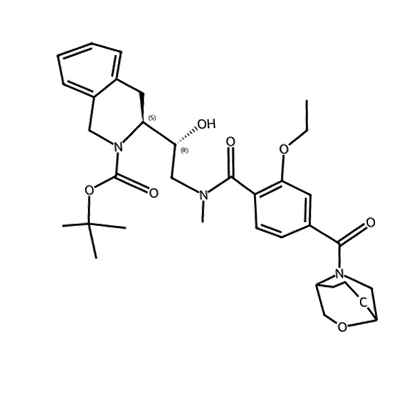 CCOc1cc(C(=O)N2CC3CCCC2CO3)ccc1C(=O)N(C)C[C@@H](O)[C@@H]1Cc2ccccc2CN1C(=O)OC(C)(C)C